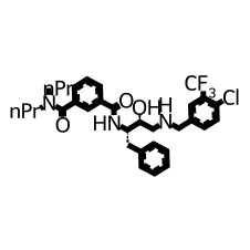 CCCN(CCC)C(=O)c1cccc(C(=O)N[C@@H](Cc2ccccc2)[C@H](O)CNCc2ccc(Cl)c(C(F)(F)F)c2)c1